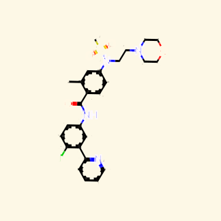 Cc1cc(N(CCN2CCOCC2)S(C)(=O)=O)ccc1C(=O)Nc1ccc(Cl)c(-c2ccccn2)c1